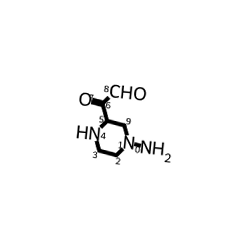 NN1CCNC(C(=O)C=O)C1